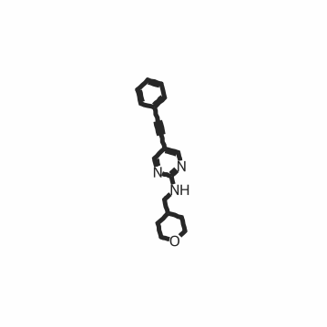 C(#Cc1cnc(NCC2CCOCC2)nc1)c1ccccc1